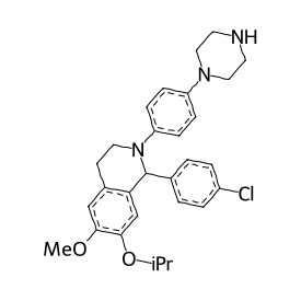 COc1cc2c(cc1OC(C)C)C(c1ccc(Cl)cc1)N(c1ccc(N3CCNCC3)cc1)CC2